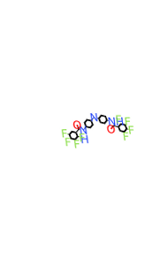 CN(c1ccc(NC(=O)c2cc(F)c(F)c(F)c2F)cc1)c1ccc(NC(=O)c2cc(F)c(F)c(F)c2F)cc1